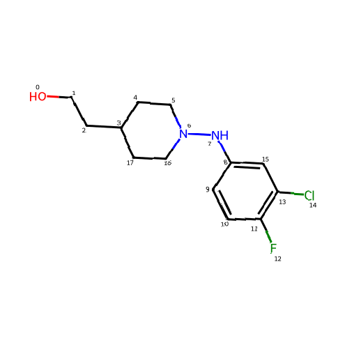 OCCC1CCN(Nc2ccc(F)c(Cl)c2)CC1